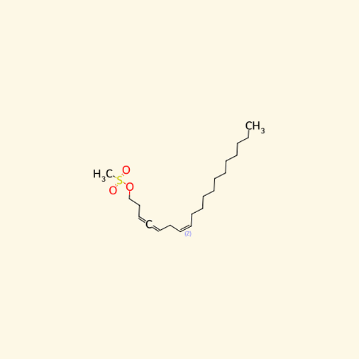 CCCCCCCCCCC/C=C\CC=C=CCCOS(C)(=O)=O